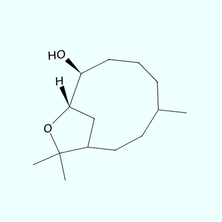 CC1CCC[C@H](O)[C@@H]2CC(CC1)C(C)(C)O2